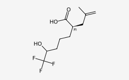 C=C(C)C[C@@H](CCCC(O)C(F)(F)F)C(=O)O